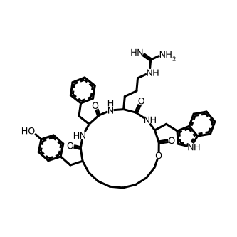 N=C(N)NCCCC1NC(=O)C(Cc2ccccc2)NC(=O)C(Cc2ccc(O)cc2)CCCCCCCOC(=O)C(Cc2c[nH]c3ccccc23)NC1=O